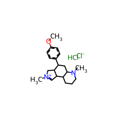 COc1ccc(C2CC3C(CCCN3C)C3C=[N+](C)CC23)cc1.Cl.[Cl-]